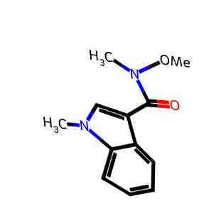 CON(C)C(=O)c1cn(C)c2ccccc12